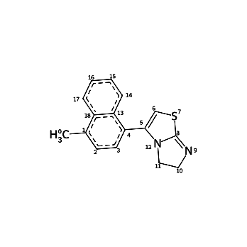 Cc1ccc(C2=CSC3=NCCN23)c2ccccc12